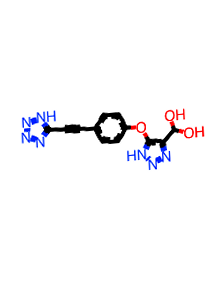 OC(O)c1nn[nH]c1Oc1ccc(C#Cc2nnn[nH]2)cc1